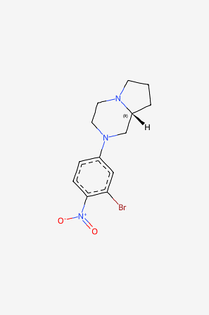 O=[N+]([O-])c1ccc(N2CCN3CCC[C@@H]3C2)cc1Br